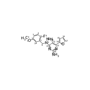 COc1ccc(F)c(Cn2nnc3c(-c4ccco4)nc(N)nc32)c1